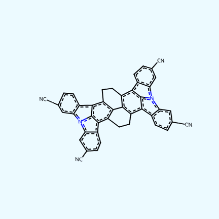 N#Cc1ccc2c3c4c5c(c6c7ccc(C#N)cc7n(c2c1)c36)CCc1c-5c(c2c3ccc(C#N)cc3n3c5cc(C#N)ccc5c1c23)CC4